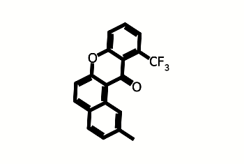 Cc1ccc2ccc3oc4cccc(C(F)(F)F)c4c(=O)c3c2c1